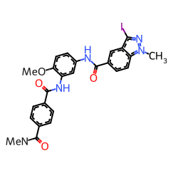 CNC(=O)c1ccc(C(=O)Nc2cc(NC(=O)c3ccc4c(c3)c(I)nn4C)ccc2OC)cc1